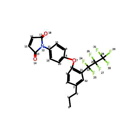 CCCc1ccc(Oc2ccc(N3C(=O)C=CC3=O)cc2)c(C(F)(F)C(F)(F)C(F)(F)F)c1